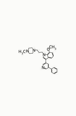 COc1cccc2c(-c3cncc(-c4ccccc4)c3)cn(CCCN3CCN(C)CC3)c12